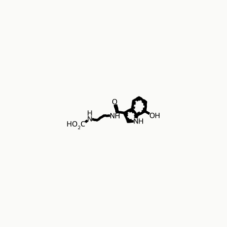 O=C(O)NCCNC(=O)c1c[nH]c2c(O)cccc12